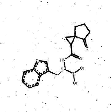 O=C(N[C@@H](Cc1coc2ccccc12)B(O)O)C1CC12CCCC2=O